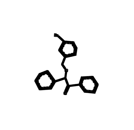 O=C(c1ccccc1)C(OCc1cc[c]c(Br)c1)c1ccccc1